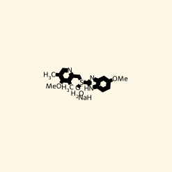 COc1ccc2[nH]c([S+]([O-])Cc3ncc(C)c(OC)c3C)nc2c1.O.[NaH]